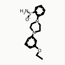 CCOc1cccc(N2CCN(c3ccccc3[S+](N)[O-])CC2)c1